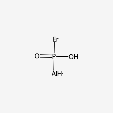 O=[P](O)([AlH])[Er]